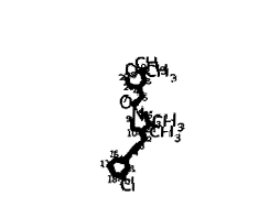 CC1(C)CC(CC(=O)N2CC/C(=C\C#Cc3cccc(Cl)c3)C(C)(C)C2)CCO1